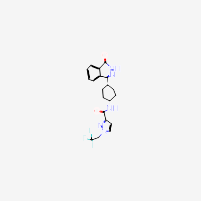 O=C(N[C@H]1CC[C@H](c2n[nH]c(=O)c3ccccc32)CC1)c1ccn(CC(F)(F)F)n1